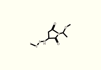 COC(C)N1C(=O)CC(NSSI)C1=O